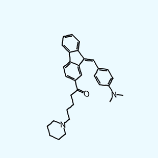 CN(C)c1ccc(/C=C2/c3ccccc3-c3ccc(C(=O)CCCCN4CCCCC4)cc32)cc1